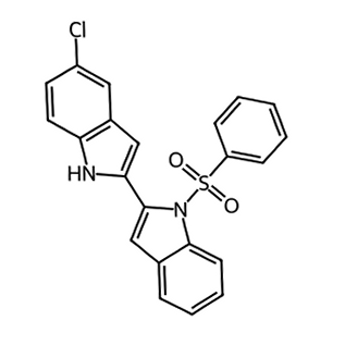 O=S(=O)(c1ccccc1)n1c(-c2cc3cc(Cl)ccc3[nH]2)cc2ccccc21